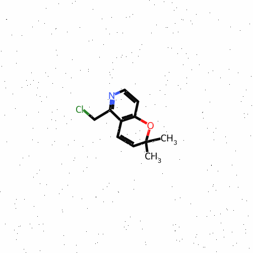 CC1(C)C=Cc2c(ccnc2CCl)O1